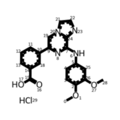 COc1ccc(Nc2nc(-c3cccc(C(=O)O)c3)cn3ccnc23)cc1OC.Cl